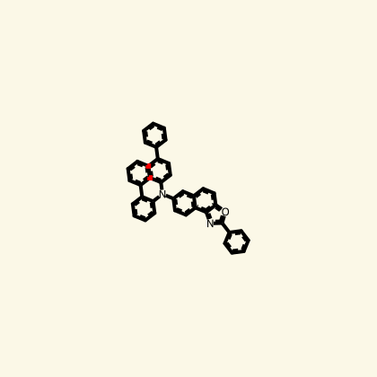 c1ccc(-c2ccc(N(c3ccc4c(ccc5oc(-c6ccccc6)nc54)c3)c3ccccc3-c3ccccc3)cc2)cc1